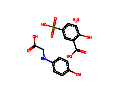 O.O=C(O)CNc1ccc(O)cc1.O=C(O)c1cc(S(=O)(=O)O)ccc1O